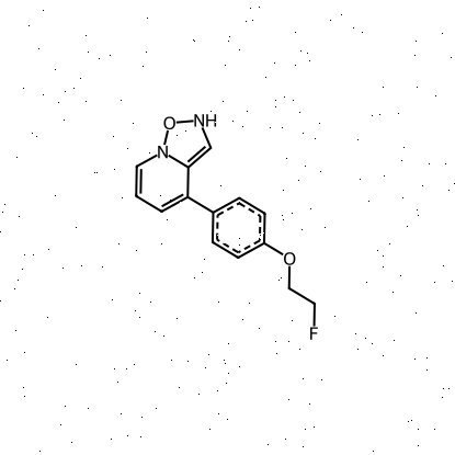 FCCOc1ccc(C2=CC=CN3ONC=C23)cc1